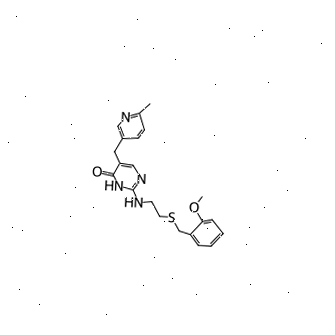 COc1ccccc1CSCCNc1ncc(Cc2ccc(C)nc2)c(=O)[nH]1